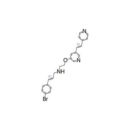 Brc1ccc(/C=C/CNCCOc2cncc(/C=C/c3ccncc3)c2)cc1